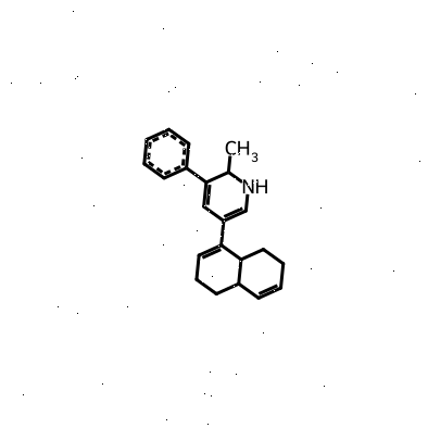 CC1NC=C(C2=CCCC3C=CCCC23)C=C1c1ccccc1